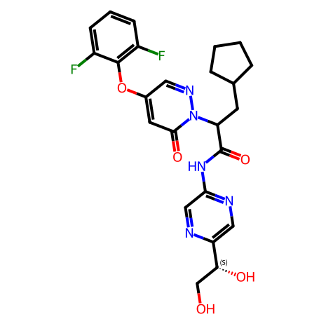 O=C(Nc1cnc([C@H](O)CO)cn1)C(CC1CCCC1)n1ncc(Oc2c(F)cccc2F)cc1=O